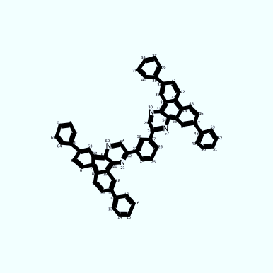 c1ccc(-c2ccc3c4ccc(-c5ccccc5)cc4c4nc(-c5cccc(-c6cnc7c8cc(-c9ccccc9)ccc8c8ccc(-c9ccccc9)cc8c7n6)c5)cnc4c3c2)cc1